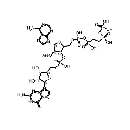 CO[C@@H]1[C@H](OP(=O)(O)OC[C@H]2O[C@@H](n3cnc4c(=O)[nH]c(N)nc43)[C@H](O)[C@@H]2O)C(COP(=O)(O)OP(=O)(O)CCP(=O)(O)OP(=O)(O)O)O[C@H]1n1cnc2c(N)ncnc21